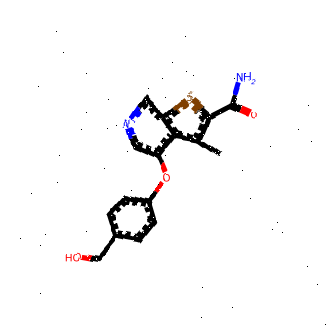 Cc1c(C(N)=O)sc2cncc(Oc3ccc(CO)cc3)c12